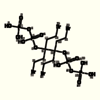 O=P(O)(O)OP(=O)(O)OC(CCBr)(CCBr)C(CCBr)(CCBr)OP(=O)(O)OP(=O)(O)O